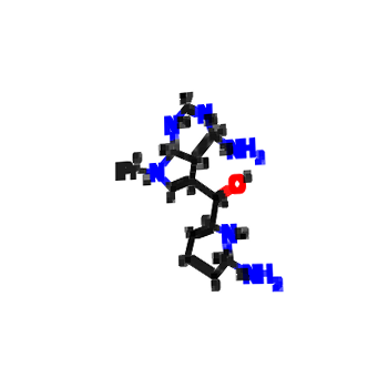 CC(C)n1cc(C(=O)c2cccc(N)n2)c2c(N)ncnc21